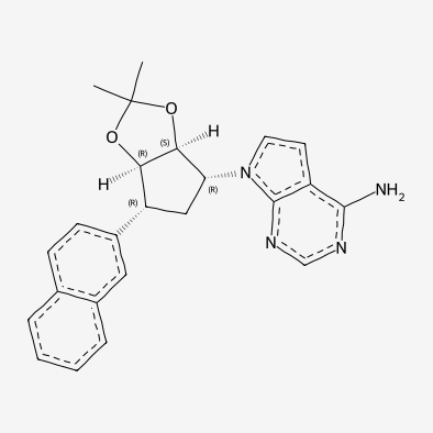 CC1(C)O[C@@H]2[C@H](O1)[C@@H](c1ccc3ccccc3c1)C[C@H]2n1ccc2c(N)ncnc21